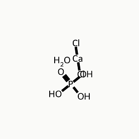 O.O=P(O)(O)O.[Cl][Ca][Cl]